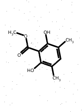 COC(=O)c1c(O)c(C)cc(C)c1O